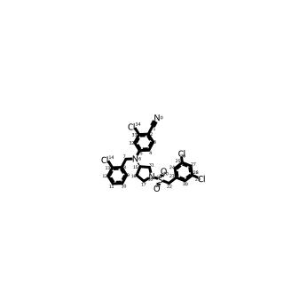 N#Cc1ccc(N(Cc2ccccc2Cl)[C@H]2CCN(S(=O)(=O)Cc3cc(Cl)cc(Cl)c3)C2)cc1Cl